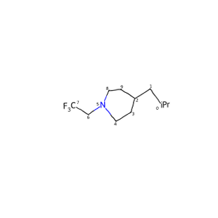 CC(C)CC1CCN(CC(F)(F)F)CC1